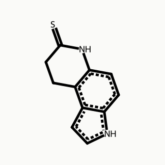 S=C1CCc2c(ccc3[nH]ccc23)N1